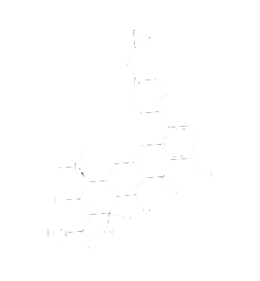 CN(C)[C@@H]1C(O)=C(C(N)=O)C(O)(O)C2C(O)=C3C(=O)c4c(O)ccc(C5=CCN(CC6CC6)CC5)c4CC3CC21